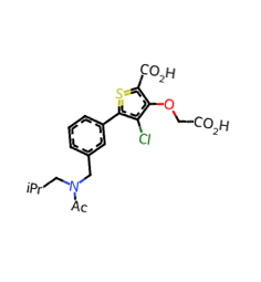 CC(=O)N(Cc1cccc(-c2sc(C(=O)O)c(OCC(=O)O)c2Cl)c1)CC(C)C